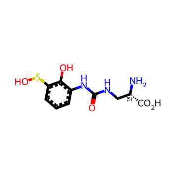 N[C@@H](CNC(=O)Nc1cccc(SO)c1O)C(=O)O